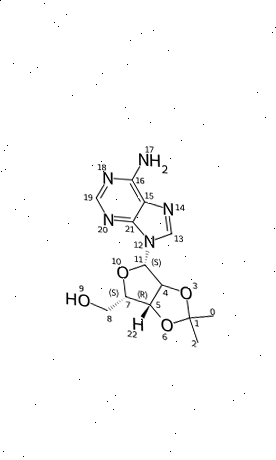 CC1(C)OC2[C@H](O1)[C@H](CO)O[C@@H]2n1cnc2c(N)ncnc21